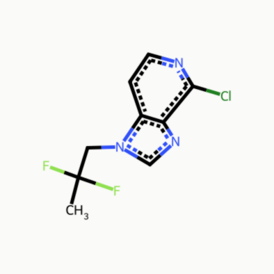 CC(F)(F)Cn1cnc2c(Cl)nccc21